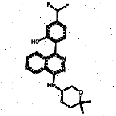 CC1(C)CC[C@@H](Nc2nnc(-c3ccc(C(F)F)cc3O)c3ccncc23)CO1